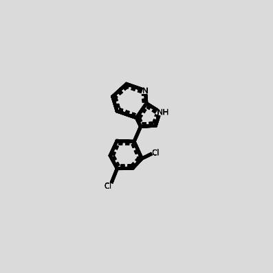 Clc1ccc(-c2c[nH]c3ncccc23)c(Cl)c1